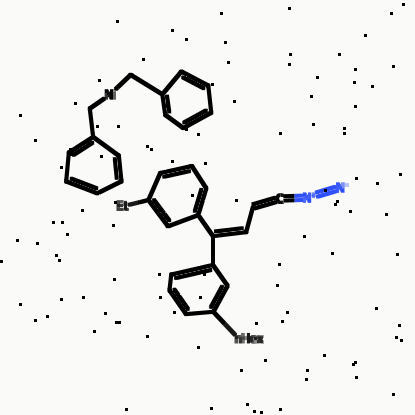 CCCCCCc1cccc(C(=CC=C=[N+]=[N-])c2cccc(CC)c2)c1.c1ccc([CH2][Ni][CH2]c2ccccc2)cc1